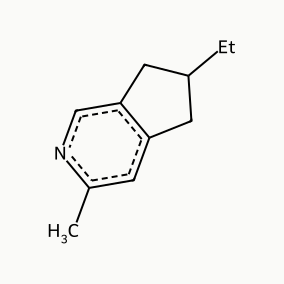 CCC1Cc2cnc(C)cc2C1